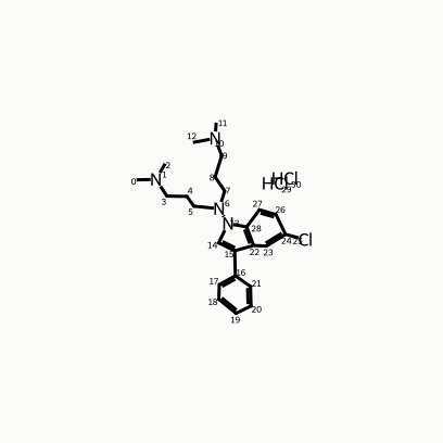 CN(C)CCCN(CCCN(C)C)n1cc(-c2ccccc2)c2cc(Cl)ccc21.Cl.Cl